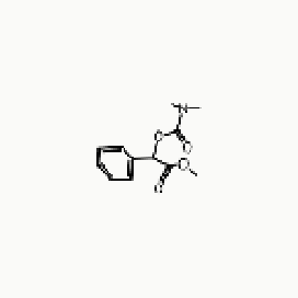 COC(=O)C(OC(=O)N(C)C)c1ccccc1